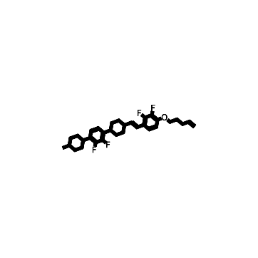 C=CCCCOc1ccc(/C=C/C2CCC(c3ccc(C4CCC(C)CC4)c(F)c3F)CC2)c(F)c1F